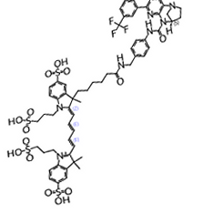 CC1(C)C(/C=C/C=C/C=C2\N(CCCS(=O)(=O)O)c3ccc(S(=O)(=O)O)cc3C2(C)CCCCCC(=O)NCc2ccc(NC(=O)N3c4nc(-c5cccc(C(F)(F)F)c5)ccc4N4CC[C@H]3C4)cc2)=[N+](CCCS(=O)(=O)O)c2ccc(S(=O)(=O)O)cc21